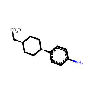 CCOC(=O)C[C@H]1CC[C@@H](c2ccc(N)cc2)CC1